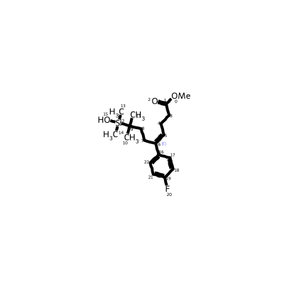 COC(=O)CC/C=C(\CCC(C)(C)[Si](C)(C)O)c1ccc(F)cc1